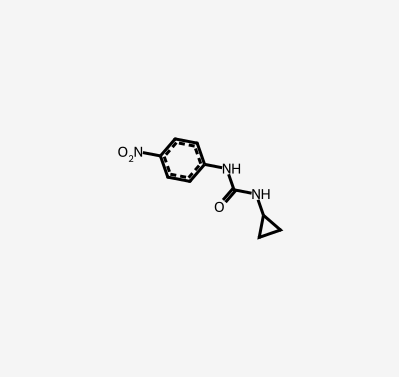 O=C(Nc1ccc([N+](=O)[O-])cc1)NC1CC1